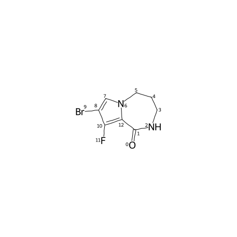 O=C1NCCCn2cc(Br)c(F)c21